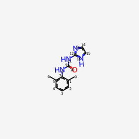 Cc1cccc(C)c1NC(=O)Nc1ncc[nH]1